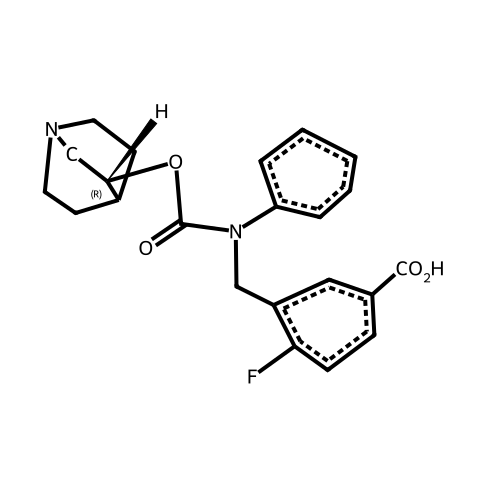 O=C(O)c1ccc(F)c(CN(C(=O)O[C@H]2CN3CCC2CC3)c2ccccc2)c1